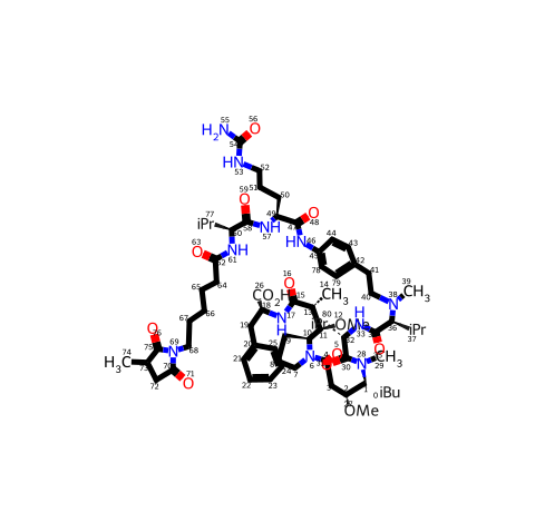 CC[C@H](C)[C@@H]([C@@H](CC(=O)N1CCC[C@H]1[C@H](OC)[C@@H](C)C(=O)N[C@@H](Cc1ccccc1)C(=O)O)OC)N(C)C(=O)[C@@H](NC(=O)[C@H](C(C)C)N(C)CCc1ccc(NC(=O)[C@H](CCCNC(N)=O)NC(=O)[C@@H](NC(=O)CCCCCN2C(=O)CC(C)C2=O)C(C)C)cc1)C(C)C